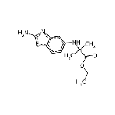 CCOC(=O)C(C)(C)Nc1ccc2sc(N)nc2c1